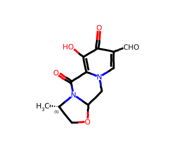 C[C@H]1COC2Cn3cc(C=O)c(=O)c(O)c3C(=O)N21